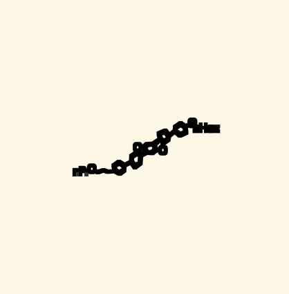 CCCCCCOc1ccc(-c2ccc3c(c2)oc2cc4c(cc23)oc2cc(-c3ccc(CCCOCCC)cc3)ccc24)cc1